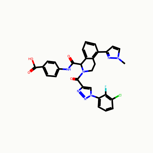 Cn1ccc(-c2cccc3c2CCN(C(=O)c2cn(-c4cccc(Cl)c4F)nn2)C3C(=O)Nc2ccc(C(=O)O)cc2)n1